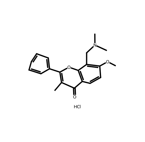 COc1ccc2c(=O)c(C)c(-c3ccccc3)oc2c1CN(C)C.Cl